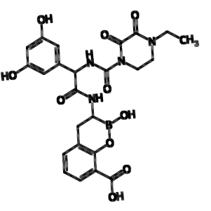 CCN1CCN(C(=O)NC(C(=O)NC2Cc3cccc(C(=O)O)c3OB2O)c2cc(O)cc(O)c2)C(=O)C1=O